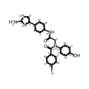 Nc1nc(-c2ccc(NC(=O)CN(C(=O)c3ccc(F)cc3)c3ccc(O)cc3)cc2)cs1